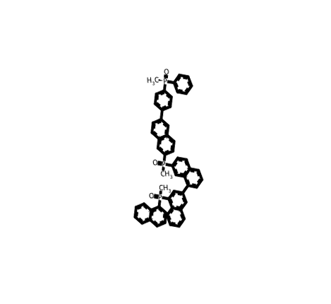 CP(=O)(c1ccc2cc(-c3ccc([P@@](C)(=O)c4ccccc4)cc3)ccc2c1)c1ccc2cccc(-c3cc(P(C)(=O)c4cccc5ccccc45)c4ccccc4c3)c2c1